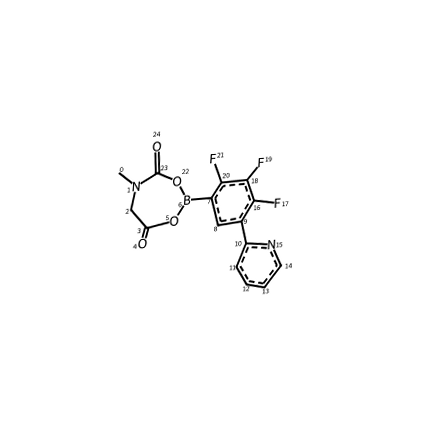 CN1CC(=O)OB(c2cc(-c3ccccn3)c(F)c(F)c2F)OC1=O